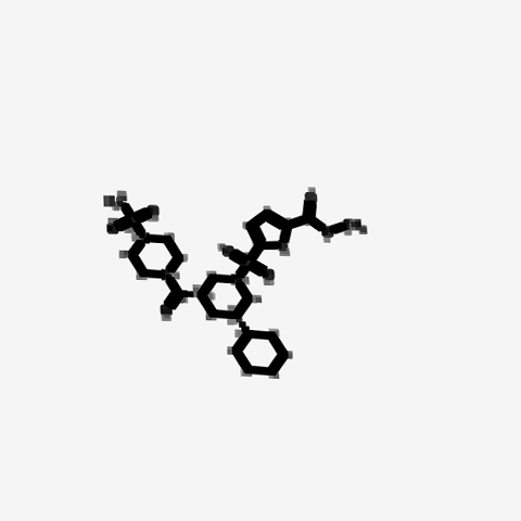 COC(=O)c1ccc(S(=O)(=O)N2C[C@@H](C(=O)N3CCN(S(C)(=O)=O)CC3)C[C@@H](C3CCCCC3)C2)s1